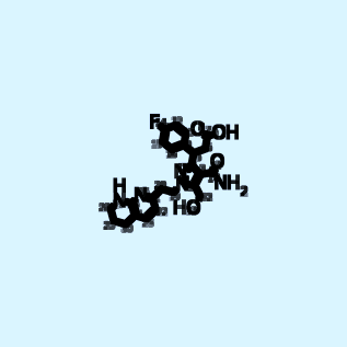 NC(=O)c1c(C(CC(=O)O)c2ccc(F)cc2)nn(CCc2ccc3c(n2)NCCC3)c1CO